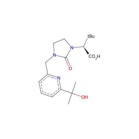 CC(C)(O)c1cccc(CN2CCN([C@H](C(=O)O)C(C)(C)C)C2=O)n1